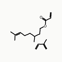 C=CC(=C)C.C=CC(=O)OCCC(C)CCC=C(C)C